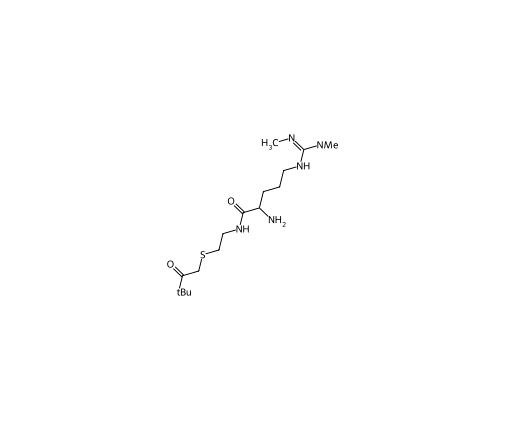 C/N=C(/NC)NCCCC(N)C(=O)NCCSCC(=O)C(C)(C)C